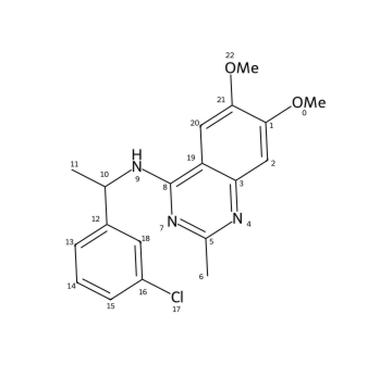 COc1cc2nc(C)nc(NC(C)c3cccc(Cl)c3)c2cc1OC